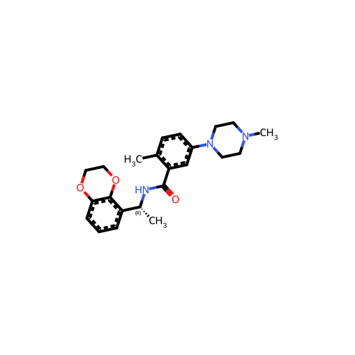 Cc1ccc(N2CCN(C)CC2)cc1C(=O)N[C@H](C)c1cccc2c1OCCO2